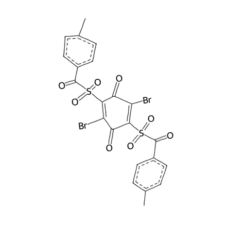 Cc1ccc(C(=O)S(=O)(=O)C2=C(Br)C(=O)C(S(=O)(=O)C(=O)c3ccc(C)cc3)=C(Br)C2=O)cc1